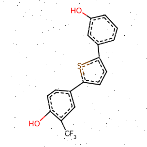 Oc1cccc(-c2ccc(-c3ccc(O)c(C(F)(F)F)c3)s2)c1